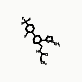 C=CC(=O)NCc1ccc(-c2ccc(C(F)(F)F)cc2F)cc1-c1ccn(C)n1